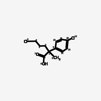 CC(CCCCl)(C(=O)O)c1ccc(Cl)cc1